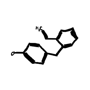 C=Cc1ccccc1Cc1ccc(Cl)cc1